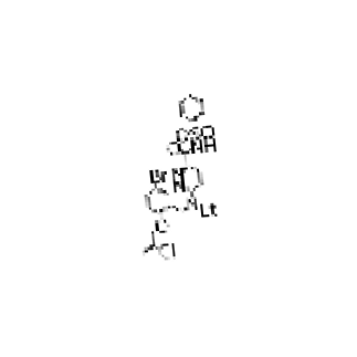 C=C(Cl)COc1ccc(Br)cc1CN(CC)c1ccc(C(=O)NS(=O)(=O)c2ccccc2)nn1